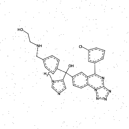 Cn1cncc1C(O)(c1ccc(CNCCO)cc1)c1ccc2c(c1)c(-c1cccc(Cl)c1)nc1nnnn12